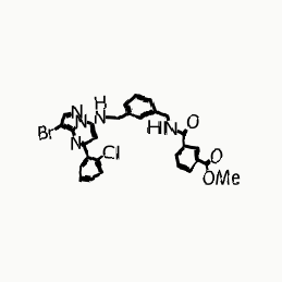 COC(=O)c1cccc(C(=O)NCc2cccc(CNc3cc(-c4ccccc4Cl)nc4c(Br)cnn34)c2)c1